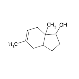 CC1=CCC2(C)C(O)CCC2C1